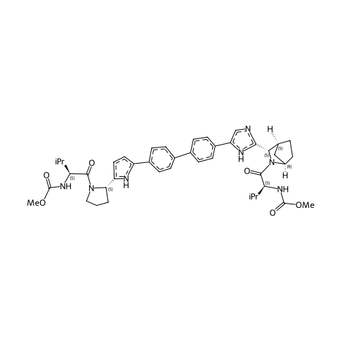 COC(=O)N[C@H](C(=O)N1CCC[C@H]1c1ccc(-c2ccc(-c3ccc(-c4cnc([C@@H]5[C@H]6CC[C@H](C6)N5C(=O)[C@@H](NC(=O)OC)C(C)C)[nH]4)cc3)cc2)[nH]1)C(C)C